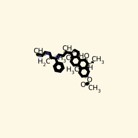 C=C(/C=C\C=C/C)/C(=C/C[C@@H](C)[C@H]1CCC2C3C(CC[C@@]21C)[C@@]1(C)CC[C@@H](OC(C)=O)C[C@H]1[C@@H](CC)[C@H]3O)c1ccccc1